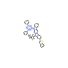 CC1(C)c2cc(-c3cc4ccccc4s3)ccc2-c2cc3c4ccccc4n(-c4nc(-c5ccccc5)nc(-c5ccccc5)n4)c3cc21